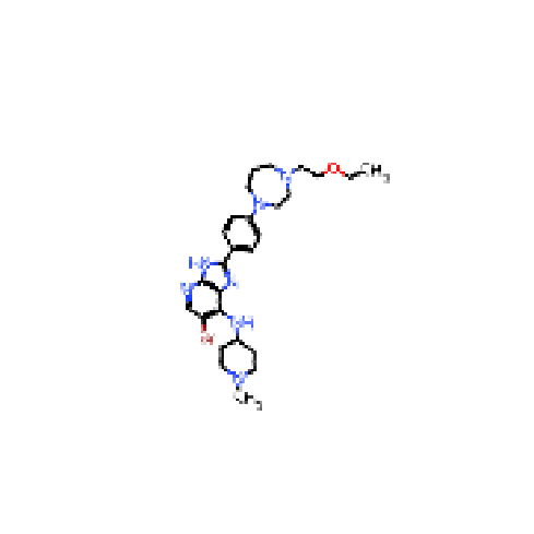 CCOCCN1CCCN(c2ccc(-c3nc4c(NC5CCN(C)CC5)c(Br)cnc4[nH]3)cc2)CC1